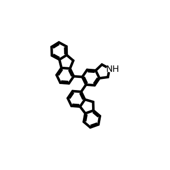 c1ccc2c(c1)Cc1c-2cccc1-c1cc2c(cc1-c1cccc3c1Cc1ccccc1-3)CNC2